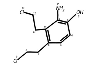 Nc1c(O)ccc(CCCl)c1CCCl